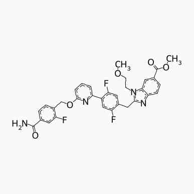 COCCn1c(Cc2cc(F)c(-c3cccc(OCc4ccc(C(N)=O)cc4F)n3)cc2F)nc2ccc(C(=O)OC)cc21